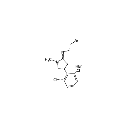 Br.CN1CC(c2c(Cl)cccc2Cl)CC1=NCCBr